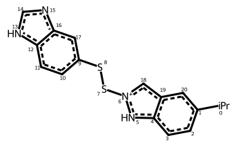 CC(C)c1ccc2[nH][n+](SSc3ccc4[nH]cnc4c3)cc2c1